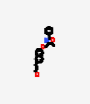 Cc1oc(-c2ccccc2)nc1COc1ccc2cc(/C=C/C=O)ccc2c1